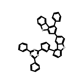 c1ccc(-c2nc(-c3ccccc3)nc(-c3cccc(-c4cccc5oc6ccc(-c7cc(-c8ccccc8)c8c(c7)sc7ccccc78)cc6c45)c3)n2)cc1